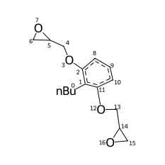 CCCCc1c(OCC2CO2)cccc1OCC1CO1